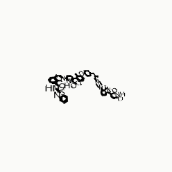 Cc1c(OC2CCC(CC(C)CN3CCN(c4cccc5c(C6CCC(=O)NC6=O)nn(C)c45)CC3)CC2)cccc1-c1ccc(N2CCc3cccc(C(=O)Nc4nc5ccccc5s4)c3C2)nc1C(=O)O